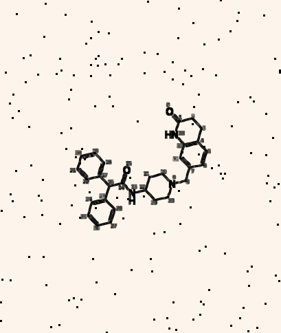 O=C1CCc2ccc(CN3CCC(NC(=O)C(c4ccccc4)c4ccccc4)CC3)cc2N1